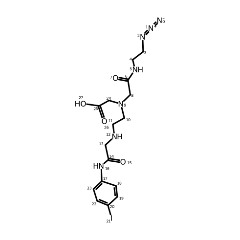 [N-]=[N+]=NCCNC(=O)CN(CCNCC(=O)Nc1ccc(I)cc1)CC(=O)O